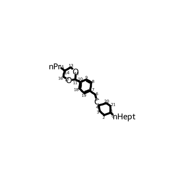 CCCCCCCC1CCC(CCc2ccc(C3OCC(CCC)CO3)cc2)CC1